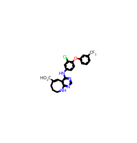 O=C(O)C1=Cc2c(ncnc2Nc2ccc(Oc3cccc(C(F)(F)F)c3)c(Cl)c2)NCCC1